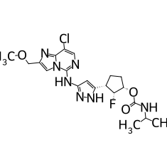 COCc1cn2c(Nc3cc([C@@H]4CC[C@H](OC(=O)NC(C)C)[C@@H]4F)[nH]n3)ncc(Cl)c2n1